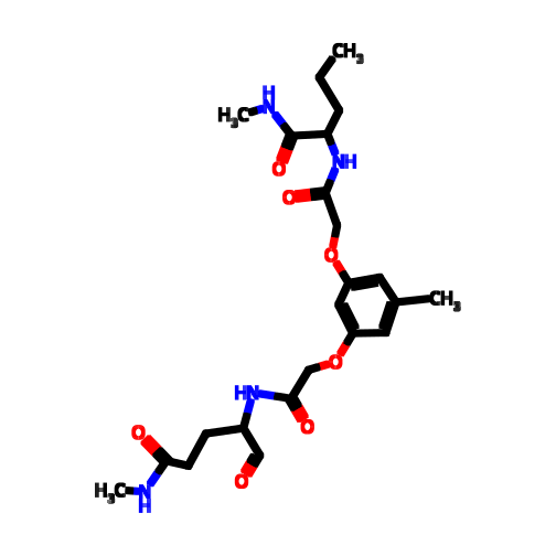 CCCC(NC(=O)COc1cc(C)cc(OCC(=O)NC(C=O)CCC(=O)NC)c1)C(=O)NC